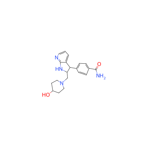 NC(=O)c1ccc(C2c3cccnc3NC2CN2CCC(O)CC2)cc1